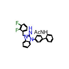 CC(=O)Nc1ccccc1-c1ccc(-n2c(=N)n(Cc3cccc(F)c3F)c3ccccc32)cc1